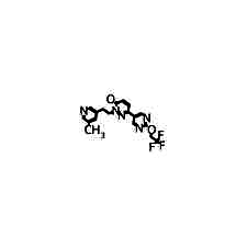 Cc1cncc(CCn2nc(-c3cnc(OCC(F)(F)F)nc3)ccc2=O)c1